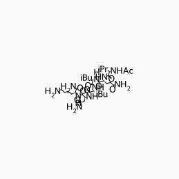 CC[C@H](C)[C@H](NC(=O)[C@H](CCC(N)=O)NC(=O)[C@@H](NC(C)=O)C(C)C)C(=O)N[C@H](C(=O)N[C@@H](CC(N)=O)C(=O)N[C@@H](CCCCN)C(N)=O)[C@@H](C)CC